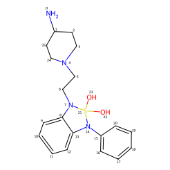 NC1CCN(CCN2c3ccccc3N(c3ccccc3)S2(O)O)CC1